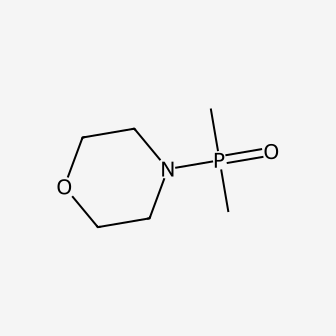 CP(C)(=O)N1CCOCC1